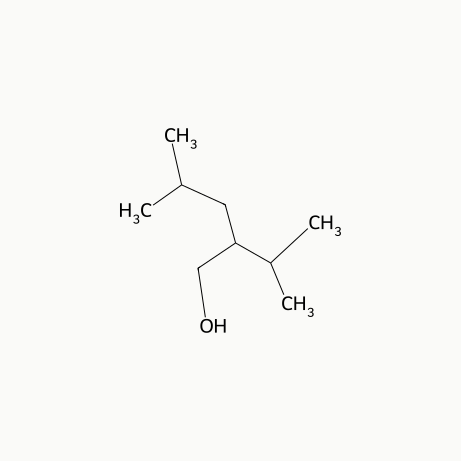 CC(C)CC(CO)C(C)C